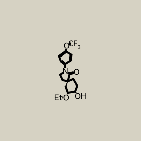 CCO[C@@H]1C[C@@]2(CC[C@H]1O)CCN(c1ccc(OC(F)(F)F)cc1)C2=O